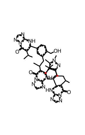 Cc1c(-c2[nH]c3ncnn3c(=O)c2C(C)Cc2cc(-c3[nH]c4ncnn4c(=O)c3C(C)C)ccc2CO)c(CCC(C)c2c(C3=CCC(C)(C)CC3)[nH]c3ncnn3c2=O)nn1C